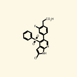 O=C(O)Cc1ccc(-c2cnc3[nH]c(Cl)cc3c2S(=O)(=O)c2ccccc2)cc1F